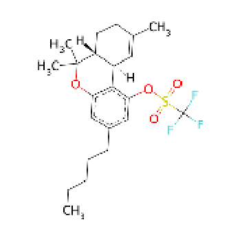 CCCCCc1cc2c(c(OS(=O)(=O)C(F)(F)F)c1)[C@@H]1C=C(C)CC[C@H]1C(C)(C)O2